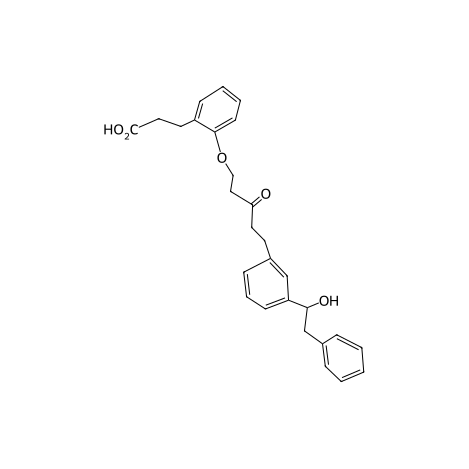 O=C(O)CCc1ccccc1OCCC(=O)CCc1cccc(C(O)Cc2ccccc2)c1